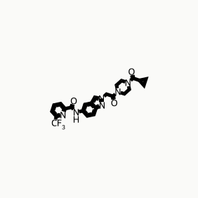 O=C(Nc1ccc2nn(CC(=O)N3CCN(C(=O)C4CC4)CC3)cc2c1)c1cccc(C(F)(F)F)n1